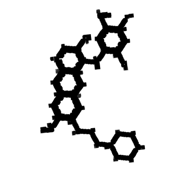 COc1cc(Nc2c(C#N)cnc3cc4cc(OC)c(OCCN5CCOCC5)cc4cc23)c(Cl)cc1F